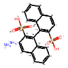 N.N.O=S(=O)(O)c1ccc2ccccc2c1-c1c(S(=O)(=O)O)ccc2ccccc12